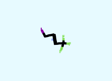 FC(F)(F)/C=C/CI